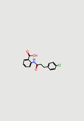 O=C(CCc1ccc(Cl)cc1)Nc1ccccc1C(=O)O